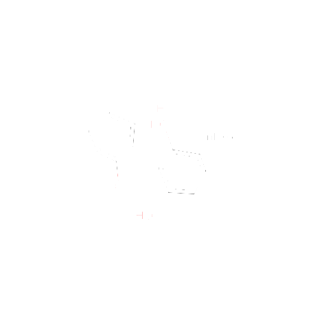 CCCCCCc1ccc(O)cc1O.Oc1cccc(O)c1